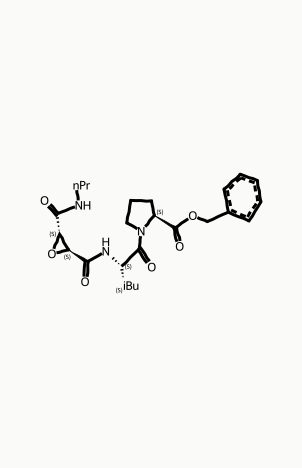 CCCNC(=O)[C@H]1O[C@@H]1C(=O)N[C@H](C(=O)N1CCC[C@H]1C(=O)OCc1ccccc1)[C@@H](C)CC